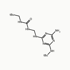 CC(C)(C)CNC(=O)NCNc1nc(N)nc(NC(C)(C)C)n1